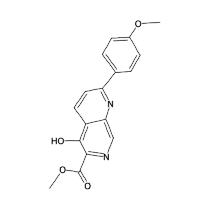 COC(=O)c1ncc2nc(-c3ccc(OC)cc3)ccc2c1O